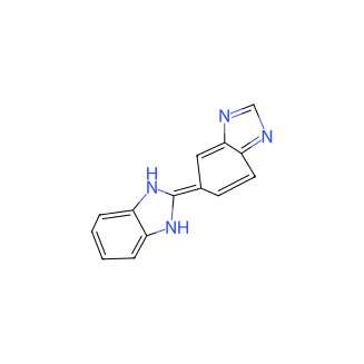 C1=Nc2cc(=C3Nc4ccccc4N3)ccc2=N1